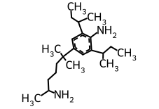 CCC(C)c1cc(C(C)(C)CCCC(C)N)cc(C(C)CC)c1N